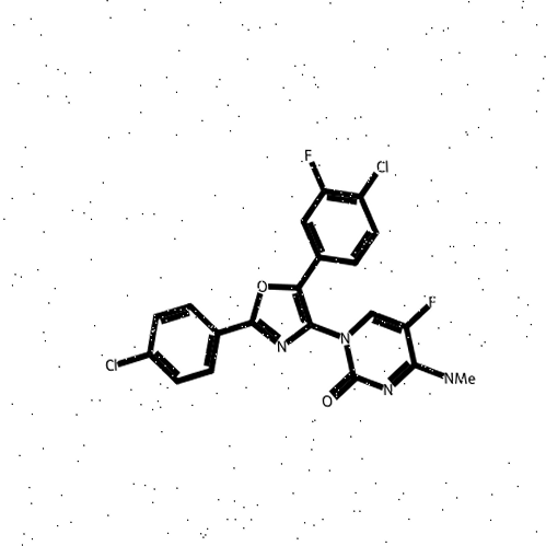 CNc1nc(=O)n(-c2nc(-c3ccc(Cl)cc3)oc2-c2ccc(Cl)c(F)c2)cc1F